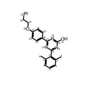 Cc1cccc(C)c1-c1nc(O)nc(-c2ccc(OCCC(C)C)cc2)n1